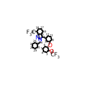 FC(F)(F)Oc1ccccc1Oc1cccc(-c2c3cccc(C(F)(F)F)c3nn2Cc2ccccc2)c1